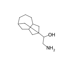 NCC(O)C12CC3CCCC(C1)C(C3)C2